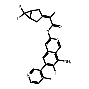 CC(C(=O)Nc1cc2cc(-c3cnccc3C)c(F)c(N)c2cn1)=C1CC2C(C1)C2(F)F